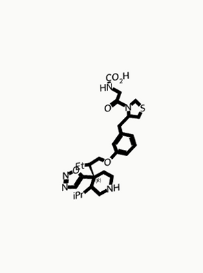 CCC(COc1cccc(CC2CSCN2C(=O)CNC(=O)O)c1)[C@@]1(c2cnno2)CCNCC1C(C)C